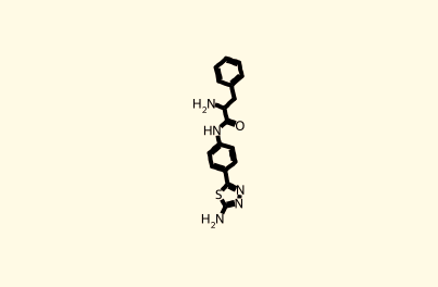 Nc1nnc(-c2ccc(NC(=O)C(N)Cc3ccccc3)cc2)s1